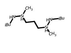 CCC(C)N[SiH](C)CCC[SiH](C)NC(C)CC